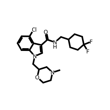 CN1CCOC(Cn2cc(C(=O)NCC3CCC(F)(F)CC3)c3c(Cl)cccc32)C1